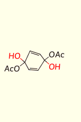 CC(=O)OC1(O)C=CC(O)(OC(C)=O)C=C1